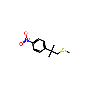 CSCC(C)(C)c1ccc([N+](=O)[O-])cc1